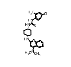 Cc1cc(Cl)ccc1NC(=S)N[C@H]1CC[C@@H](Nc2cc(N(C)C)c3ccccc3n2)CC1